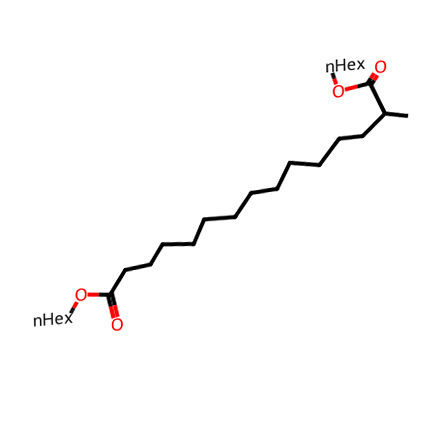 CCCCCCOC(=O)CCCCCCCCCCCCC(C)C(=O)OCCCCCC